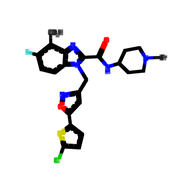 CC(C)N1CCC(NC(=O)c2nc3c(C(=O)O)c(F)ccc3n2Cc2cc(-c3ccc(Cl)s3)on2)CC1